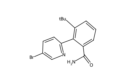 CC(C)(C)c1cccc(C(N)=O)c1-c1ccc(Br)cn1